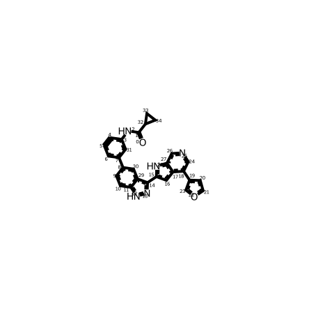 O=C(Nc1c#ccc(-c2ccc3[nH]nc(-c4cc5c(-c6ccoc6)cncc5[nH]4)c3c2)c1)C1CC1